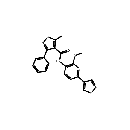 COc1nc(-c2cnoc2)ccc1NC(=O)c1c(-c2ccccc2)noc1C